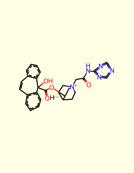 O=C(C[N+]12CCC(CC1)[C@@H](OC(=O)C1(O)c3ccccc3C=Cc3ccccc31)C2)Nc1ncncn1